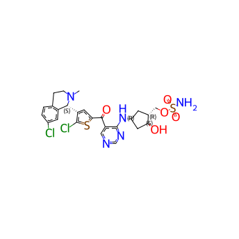 CN1CCc2ccc(Cl)cc2[C@H]1c1cc(C(=O)c2cncnc2N[C@@H]2C[C@H](COS(N)(=O)=O)[C@@H](O)C2)sc1Cl